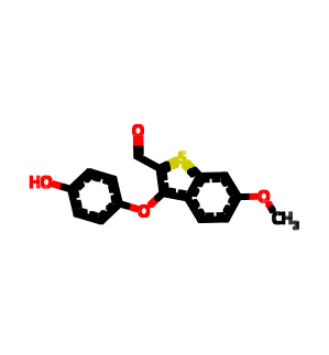 COc1ccc2c(Oc3ccc(O)cc3)c(C=O)sc2c1